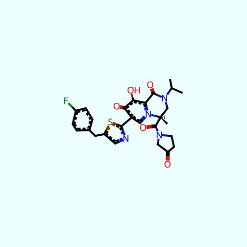 CC(C)N1C[C@](C)(C(=O)N2CCC(=O)C2)n2cc(-c3ncc(Cc4ccc(F)cc4)s3)c(=O)c(O)c2C1=O